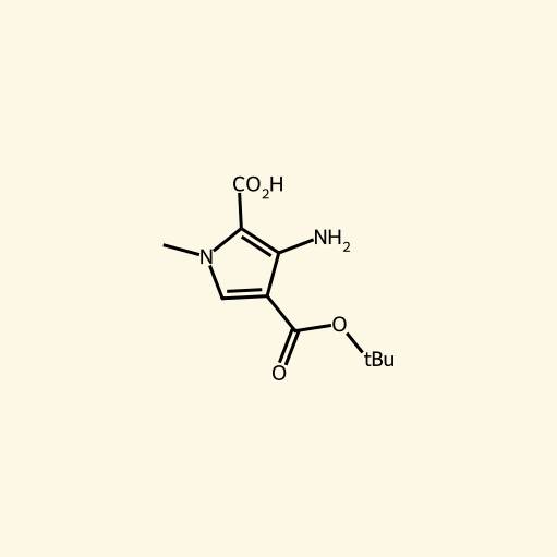 Cn1cc(C(=O)OC(C)(C)C)c(N)c1C(=O)O